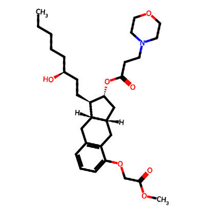 CCCCC[C@H](O)CC[C@@H]1[C@H]2Cc3cccc(OCC(=O)OC)c3C[C@H]2C[C@H]1OC(=O)CCN1CCOCC1